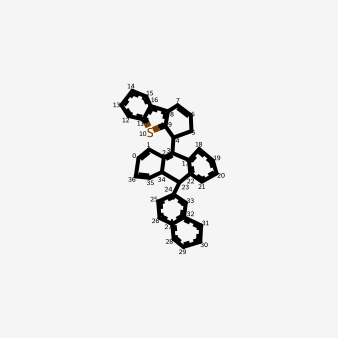 C1=CC2=C(C3CC=Cc4c3sc3ccccc43)c3ccccc3C(c3ccc4ccccc4c3)C2C=C1